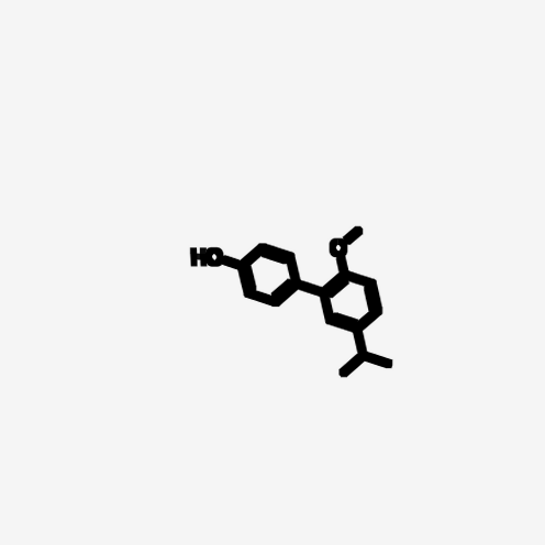 COc1ccc(C(C)C)cc1-c1ccc(O)cc1